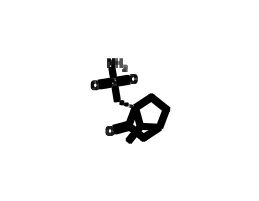 CC1C2CC[C@]1(CS(N)(=O)=O)C(=O)C2